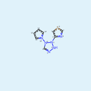 [C]1=NNN(c2cscn2)N1n1cccc1